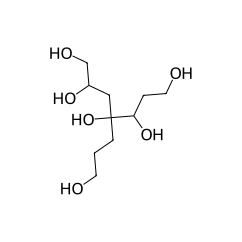 OCCCC(O)(CC(O)CO)C(O)CCO